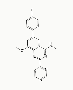 CNc1nc(-c2ccncn2)nc2c(OC)cc(-c3ccc(F)cc3)cc12